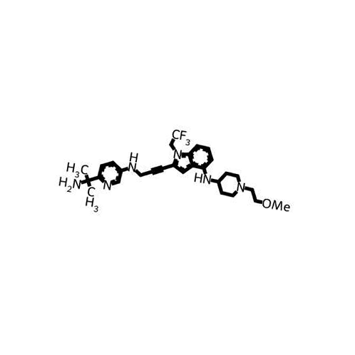 COCCN1CCC(Nc2cccc3c2cc(C#CCNc2ccc(C(C)(C)N)nc2)n3CC(F)(F)F)CC1